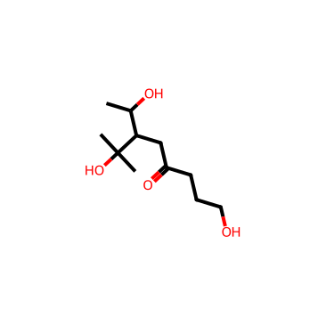 CC(O)C(CC(=O)CCCO)C(C)(C)O